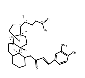 CC[C@H](CC[C@@H](C)[C@H]1CC[C@H]2[C@@H]3CCC4CCCC(OC(=O)C=Cc5ccc(O)c(OC)c5)[C@]4(C)[C@H]3CC[C@]12C)C(C)C